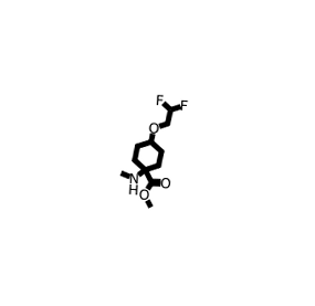 CNC1(C(=O)OC)CCC(OCC(F)F)CC1